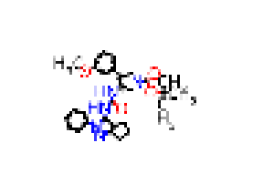 COc1cccc([C@@H]2CN(C(=O)OC(C)(C)C)C[C@H]2NC(=O)Nc2c3c(nn2-c2ccccc2)CCC3)c1